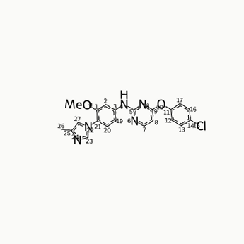 COc1cc(Nc2nccc(Oc3ccc(Cl)cc3)n2)ccc1-n1cnc(C)c1